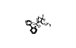 CCC(NS(=O)(=O)c1ccccc1-c1cncs1)C(F)(F)F